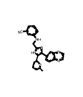 Cc1cccc(-c2[nH]c(CNc3cccc(C#N)c3)nc2-c2ccc3nccnc3c2)n1